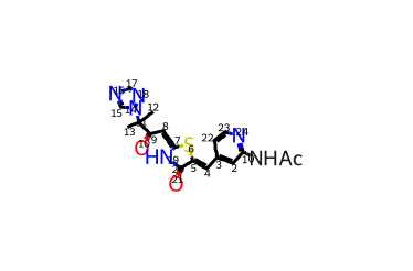 CC(=O)Nc1cc(/C=c2\s/c(=C/C(=O)C(C)(C)n3cncn3)[nH]c2=O)ccn1